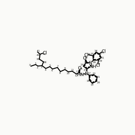 CCCC(CCCCCCCCCC(=O)NN(c1ccccc1)c1cc(=O)n(-c2c(Cl)cc(Cl)cc2Cl)[nH]1)CCC(C)Cl